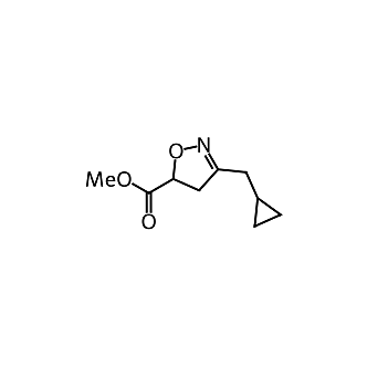 COC(=O)C1CC(CC2CC2)=NO1